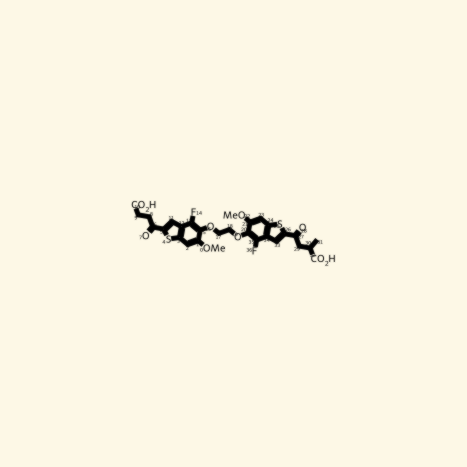 COc1cc2sc(C(=O)CCC(=O)O)cc2c(F)c1OCCOc1c(OC)cc2sc(C(=O)CC(C)C(=O)O)cc2c1F